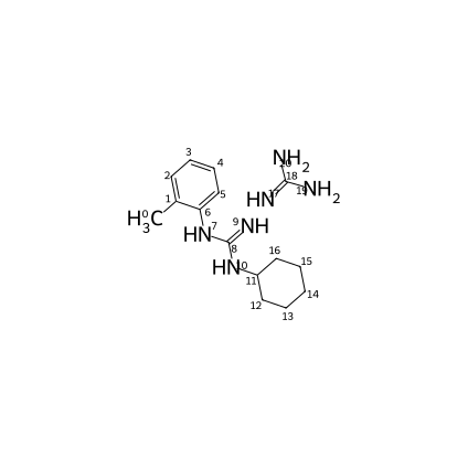 Cc1ccccc1NC(=N)NC1CCCCC1.N=C(N)N